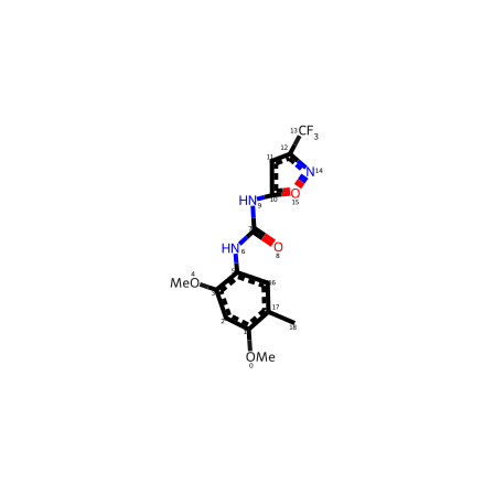 COc1cc(OC)c(NC(=O)Nc2cc(C(F)(F)F)no2)cc1C